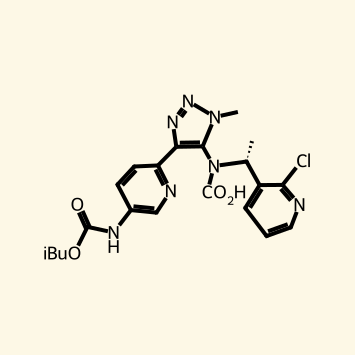 CC(C)COC(=O)Nc1ccc(-c2nnn(C)c2N(C(=O)O)[C@H](C)c2cccnc2Cl)nc1